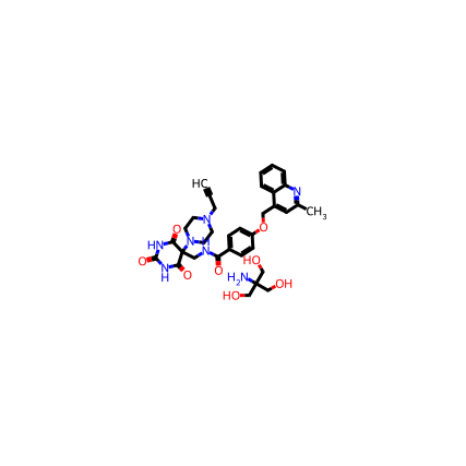 C#CCN1CCN(C2(CNC(=O)c3ccc(OCc4cc(C)nc5ccccc45)cc3)C(=O)NC(=O)NC2=O)CC1.NC(CO)(CO)CO